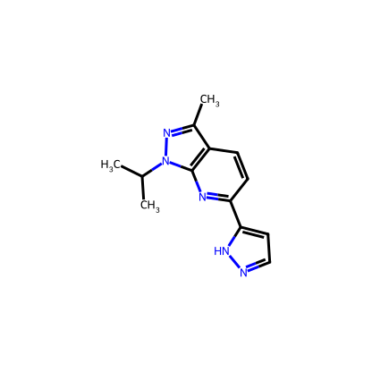 Cc1nn(C(C)C)c2nc(-c3ccn[nH]3)ccc12